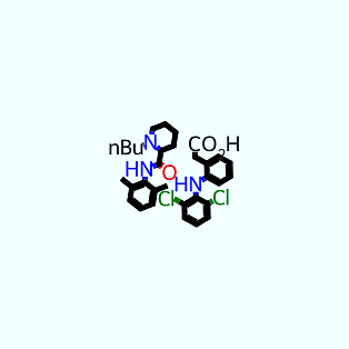 CCCCN1CCCCC1C(=O)Nc1c(C)cccc1C.O=C(O)Cc1ccccc1Nc1c(Cl)cccc1Cl